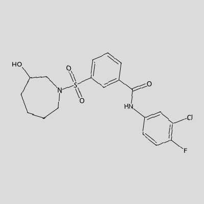 O=C(Nc1ccc(F)c(Cl)c1)c1cccc(S(=O)(=O)N2CCCCC(O)C2)c1